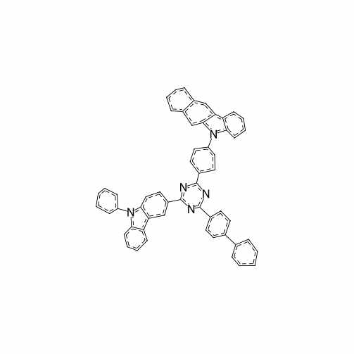 c1ccc(-c2ccc(-c3nc(-c4ccc(-n5c6ccccc6c6cc7ccccc7cc65)cc4)nc(-c4ccc5c(c4)c4ccccc4n5-c4ccccc4)n3)cc2)cc1